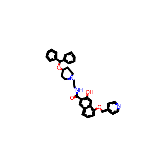 O=C(NCCN1CCC(OC(c2ccccc2)c2ccccc2)CC1)c1cc2cccc(OCc3ccncc3)c2cc1O